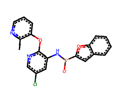 Cc1ncccc1Oc1ncc(Cl)cc1N[S+]([O-])c1cc2ccccc2o1